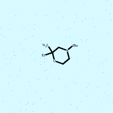 CCC1(C)CN(C(C)(C)C)CCO1